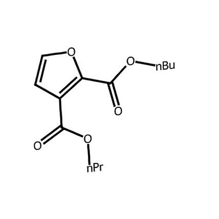 CCCCOC(=O)c1occc1C(=O)OCCC